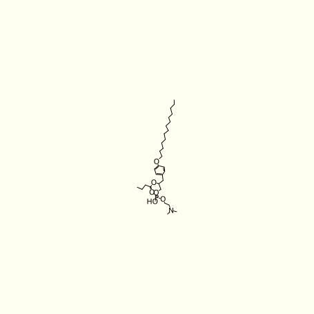 CCCCCCCCCCCCCCOc1ccc(CC(COP(O)OCCN(C)C)OC(=O)CCC)cc1